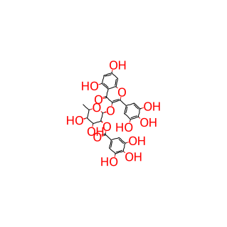 CC1O[C@@H](Oc2c(-c3cc(O)c(O)c(O)c3)oc3cc(O)cc(O)c3c2=O)[C@@H](OC(=O)c2cc(O)c(O)c(O)c2)C(O)[C@H]1O